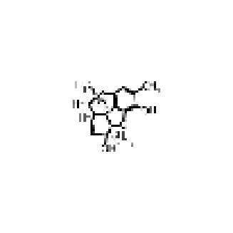 Cc1cc2c3c(c1O)O[C@@H]1[C@]34CCN(C)[C@H](C2)[C@@H]4C=C[C@]1(C)O